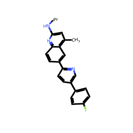 Cc1cc(NC(C)C)nc2ccc(-c3ccc(-c4ccc(F)cc4)cn3)cc12